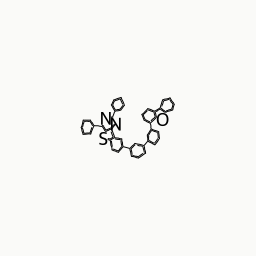 c1ccc(-c2nc(-c3ccccc3)c3sc4ccc(-c5cccc(-c6cccc(-c7cccc8c7oc7ccccc78)c6)c5)cc4c3n2)cc1